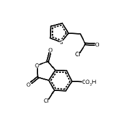 O=C(Cl)Cc1cccs1.O=C(O)c1cc(Cl)c2c(c1)C(=O)OC2=O